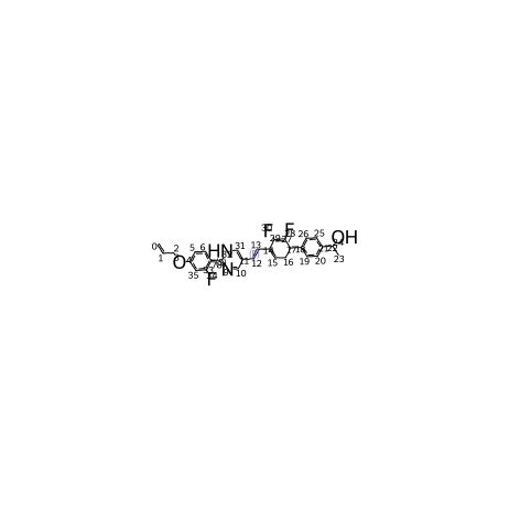 C=CCOc1ccc([C@@H]2N=CC(/C=C/C3=CCC(c4ccc(C(C)O)cc4)C(F)=C3F)=CN2)c(F)c1